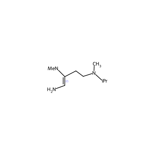 CN/C(=C\N)CCN(C)C(C)C